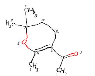 CC(=O)C1=C(C)OC(C)(C)CC1